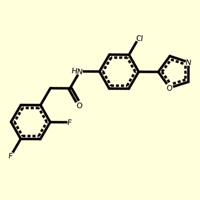 O=C(Cc1ccc(F)cc1F)Nc1ccc(-c2cnco2)c(Cl)c1